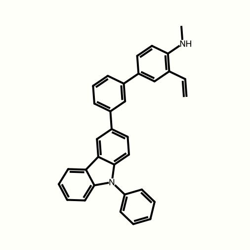 C=Cc1cc(-c2cccc(-c3ccc4c(c3)c3ccccc3n4-c3ccccc3)c2)ccc1NC